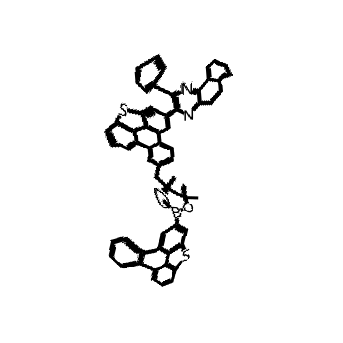 CC1(C)OB(c2cc3sc4cccc5c6ccccc6c(c2)c3c45)OC1(C)Cc1ccc2c(c1)c1cccc3sc4cc(-c5nc6ccc7ccccc7c6nc5-c5ccccc5)cc2c4c31